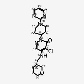 O=c1c(Cl)c(NC[C@@H]2CCCOC2)cnn1C1CCN(c2ncccn2)CC1